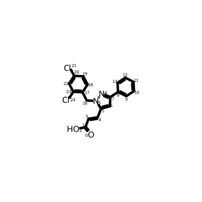 O=C(O)C=Cc1cc(-c2ccccc2)nn1Cc1ccc(Cl)cc1Cl